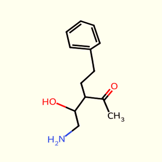 CC(=O)C(CCc1ccccc1)C(O)CN